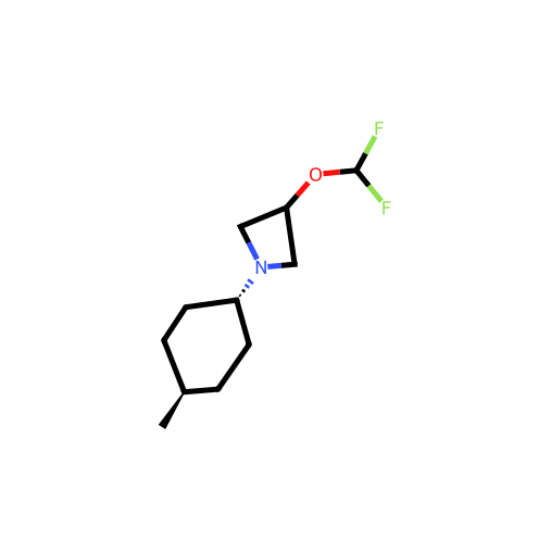 C[C@H]1CC[C@H](N2CC(OC(F)F)C2)CC1